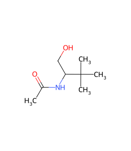 CC(=O)NC(CO)C(C)(C)C